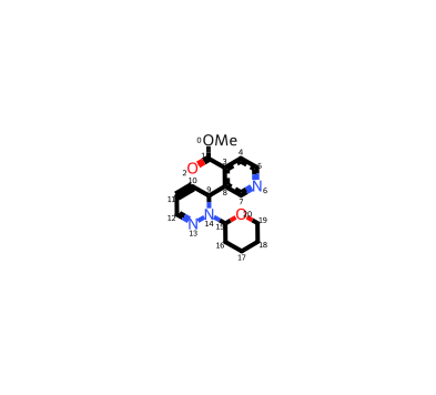 COC(=O)c1ccncc1C1C#CC=NN1C1CCCCO1